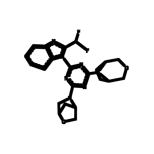 FC(F)c1nc2ccccc2n1-c1nc(N2CC3CC2CO3)nc(N2C3CCC2COC3)n1